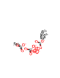 O=[Si]([O-])[O-].O=[Si]([O-])[O-].O=[Si]([O-])[O-].[Al+3].[Fe+3].[Mg+2].[Na+].[OH-].[OH-].[OH-]